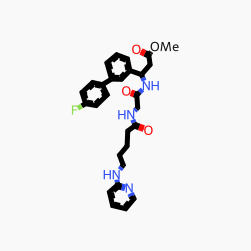 COC(=O)CC(NC(=O)CNC(=O)CCCCNc1ccccn1)c1cccc(-c2ccc(F)cc2)c1